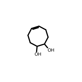 OC1CCC=CCCC1O